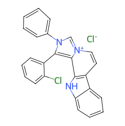 Clc1ccccc1-c1c2c3[nH]c4ccccc4c3cc[n+]2cn1-c1ccccc1.[Cl-]